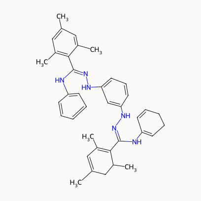 CC1=CC(C)=C(/C(=N/Nc2cccc(N/N=C(\Nc3ccccc3)c3c(C)cc(C)cc3C)c2)NC2=CCCC=C2)C(C)C1